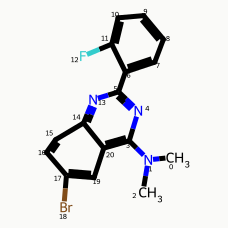 CN(C)c1nc(-c2ccccc2F)nc2ccc(Br)cc12